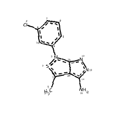 Cc1sn(-c2cccc(Cl)c2)c2nnc(N)c1-2